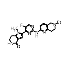 CCN1CCc2nc(Nc3ncc(F)c(-c4cc5c(n4C)CCNC5=O)n3)ccc2C1